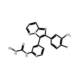 CCNC(=O)Nc1cc(-c2c(-c3ccc(F)c(C)c3)nc3cccnn23)ccn1